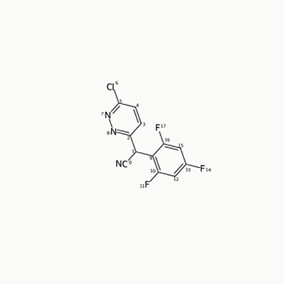 N#CC(c1ccc(Cl)nn1)c1c(F)cc(F)cc1F